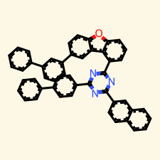 c1ccc(-c2ccc(-c3nc(-c4ccc5ccccc5c4)nc(-c4cccc5oc6ccc(-c7cccc(-c8ccccc8)c7)cc6c45)n3)cc2)cc1